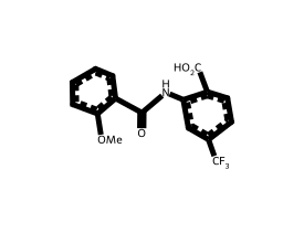 COc1ccccc1C(=O)Nc1cc(C(F)(F)F)ccc1C(=O)O